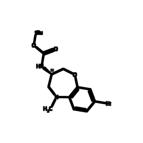 CCc1ccc2c(c1)OC[C@H](NC(=O)OC(C)(C)C)CN2C